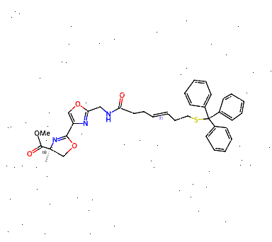 COC(=O)[C@]1(C)COC(c2coc(CNC(=O)CC/C=C/CCSC(c3ccccc3)(c3ccccc3)c3ccccc3)n2)=N1